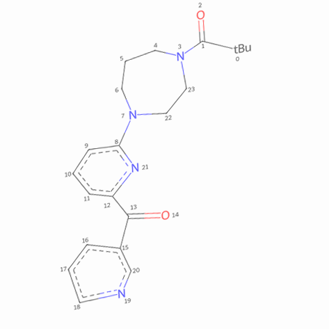 CC(C)(C)C(=O)N1CCCN(c2cccc(C(=O)c3cccnc3)n2)CC1